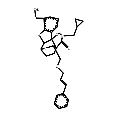 COc1cccc2c1OC1C3CCC4(C(=O)N(CC5CC5)CCC214)C(COC/C=C/c1ccccc1)C3